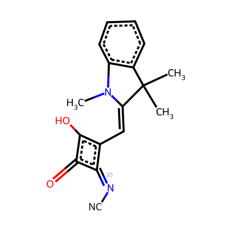 CN1C(=Cc2c(O)c(=O)/c2=N\C#N)C(C)(C)c2ccccc21